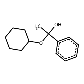 CC(O)(OC1CCCCC1)c1ccccc1